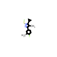 Cc1cc(-c2nn(SF)c(C3CC3)c2C)ccc1F